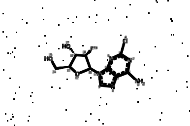 Nc1nc(Cl)nc2c1ncn2C1O[C@@H](CO)[C@H](O)[C@H]1F